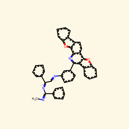 C\N=C(/N=C(\C=N\c1cccc(-c2nc3c(ccc4c5ccccc5oc43)c3oc4ccccc4c23)c1)c1ccccc1)c1ccccc1